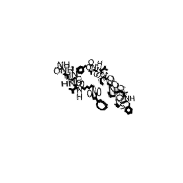 CC[C@H](C)[C@@H]([C@@H](CC(=O)N1CCC[C@H]1[C@H](OC)[C@@H](C)C(=O)N[C@@H](Cc1ccccc1)c1nccs1)OC)N(C)C(=O)[C@@H](NC(=O)[C@H](C(C)C)N(C)C(=O)OCc1ccc(NC(=O)[C@H](CCCNC(N)=O)NC(=O)[C@@H](NC(=O)CCCCCN2C(=O)CC(C3CCCCCCCC3)C2=O)C(C)C)cc1)C(C)C